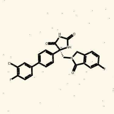 O=C1NC(=O)[C@](CN2Cc3ccc(F)cc3C2=O)(c2ccc(-c3ccc(F)c(Cl)c3)cc2)N1